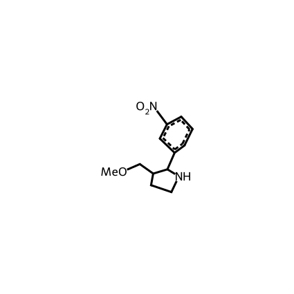 COCC1CCNC1c1cccc([N+](=O)[O-])c1